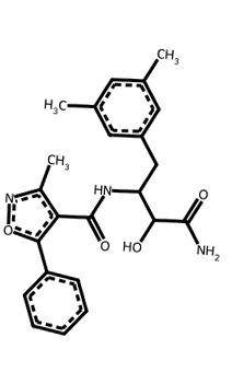 Cc1cc(C)cc(CC(NC(=O)c2c(C)noc2-c2ccccc2)C(O)C(N)=O)c1